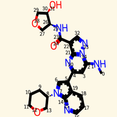 CNc1cc(-c2cn([C@H]3CCCOC3)c3ncccc23)nc2c(C(=O)N[C@H]3COC[C@H]3O)cnn12